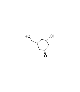 O=C1CC(CO)C[C@H](O)C1